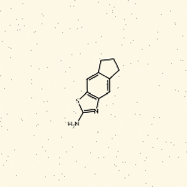 Nc1nc2cc3c(cc2s1)CCC3